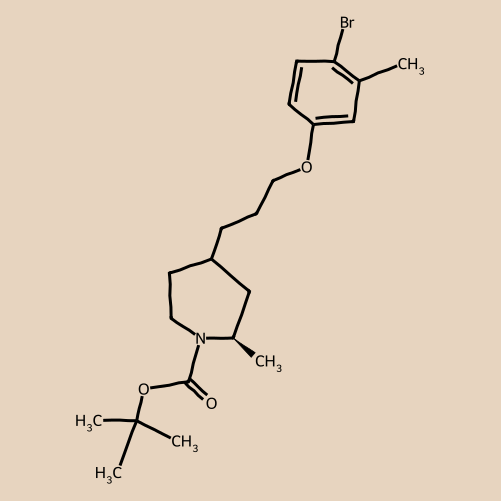 Cc1cc(OCCCC2CCN(C(=O)OC(C)(C)C)[C@H](C)C2)ccc1Br